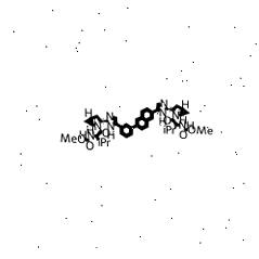 COC(=O)NC(C(=O)N1[C@@H]2C[C@@H]2C[C@H]1c1ncc(-c2cccc(-c3ccc4cc(-c5cnc([C@H]6C[C@@H]7C[C@@H]7N6C(=O)[C@@H](NC(=O)OC)C(C)C)[nH]5)ccc4c3)c2)[nH]1)C(C)C